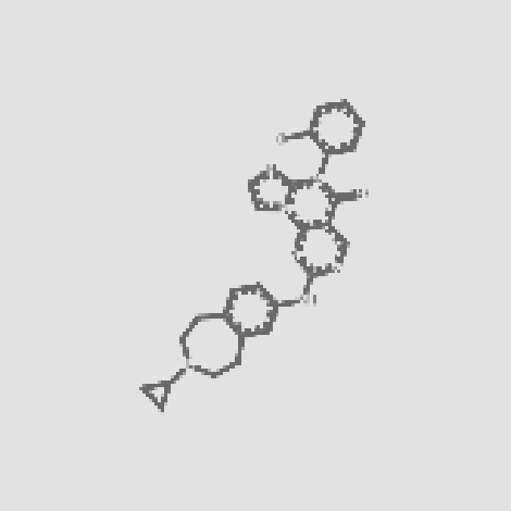 O=c1c2cnc(Nc3ccc4c(c3)CCN(C3CC3)CC4)nc2n2ccnc2n1-c1ccccc1Cl